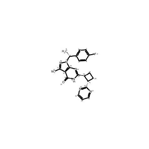 C[C@H](c1ccc(F)cc1)n1nc(C#N)c2c(=O)[nH]c([C@H]3CC[C@@H]3c3ncccn3)nc21